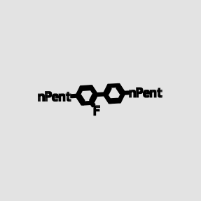 CCCCCc1ccc(-c2ccc(CCCCC)cc2F)cc1